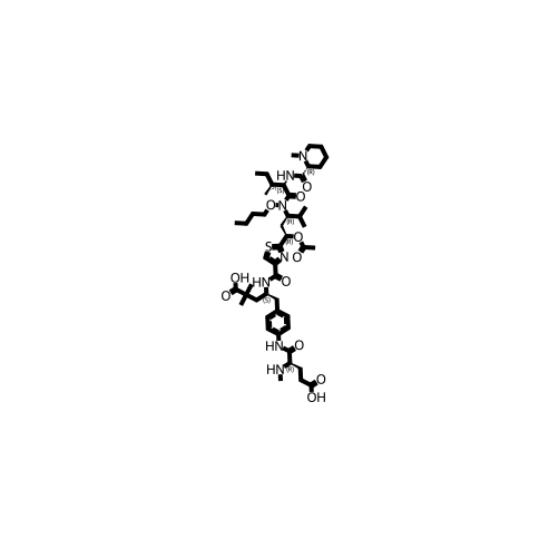 CCCCON(C(=O)[C@@H](NC(=O)[C@H]1CCCCN1C)[C@@H](C)CC)[C@H](C[C@@H](OC(C)=O)c1nc(C(=O)N[C@@H](Cc2ccc(NC(=O)[C@@H](CCC(=O)O)NC)cc2)CC(C)(C)C(=O)O)cs1)C(C)C